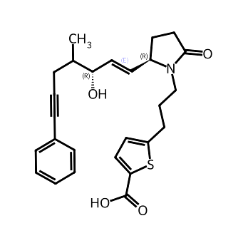 CC(CC#Cc1ccccc1)[C@@H](O)/C=C/[C@H]1CCC(=O)N1CCCc1ccc(C(=O)O)s1